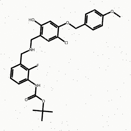 COc1ccc(COc2cc(O)c(CNCc3cccc(NC(=O)OC(C)(C)C)c3F)cc2Cl)cc1